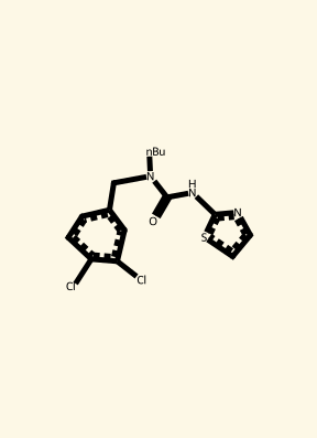 CCCCN(Cc1ccc(Cl)c(Cl)c1)C(=O)Nc1nccs1